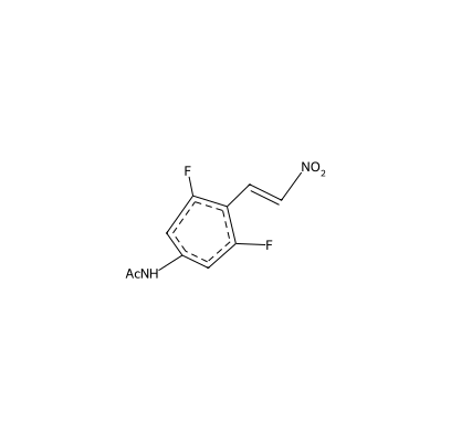 CC(=O)Nc1cc(F)c(C=C[N+](=O)[O-])c(F)c1